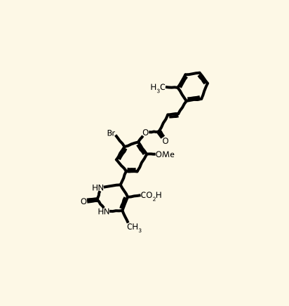 COc1cc(C2NC(=O)NC(C)=C2C(=O)O)cc(Br)c1OC(=O)C=Cc1ccccc1C